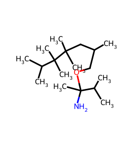 CC(COC(C)(N)C(C)C)CC(C)(C)C(C)(C)C(C)C